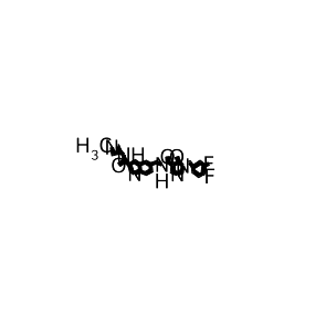 CN1CC(NC(=O)c2cnc3ccc(CNC(=O)c4cncn(Cc5ccc(F)c(F)c5)c4=O)cc3c2)C1